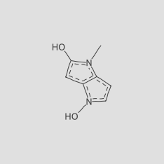 Cn1c(O)cc2c1ccn2O